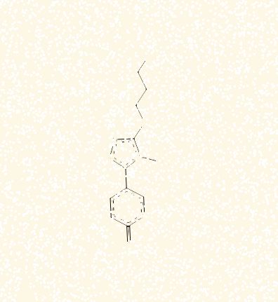 Cn1c(SCCCCl)nnc1-c1ccc(=O)[nH]c1